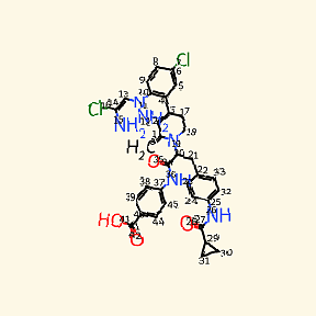 C=C1C=C(c2cc(Cl)ccc2N(N)/C=C(\N)Cl)CCN1C(Cc1ccc(NC(=O)C2CC2)cc1)C(=O)Nc1ccc(C(=O)O)cc1